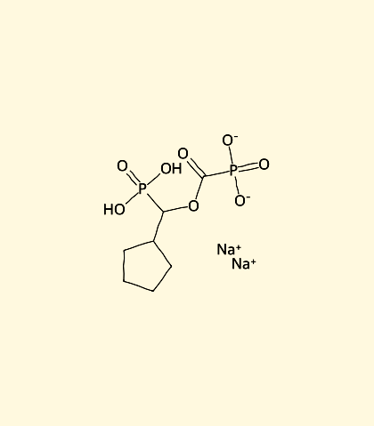 O=C(OC(C1CCCC1)P(=O)(O)O)P(=O)([O-])[O-].[Na+].[Na+]